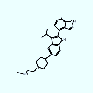 CNCCN1CCC(c2ccc3[nH]c(-c4ccnc5[nH]ncc45)c(C(C)C)c3c2)CC1